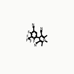 CC1=C(C#N)C(c2cc(C#N)c(F)c(C(F)(F)F)c2F)C(C#N)=C(C)N1C